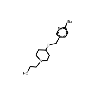 CCC(C)c1ccc(COC2CCN(CCO)CC2)cn1